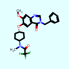 COc1cc2ncn(Cc3ccccc3)c(=O)c2cc1O[C@H]1CC[C@H](N(C)C(=O)C(F)(F)F)CC1